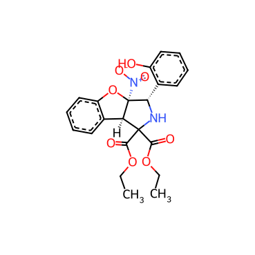 CCOC(=O)C1(C(=O)OCC)N[C@@H](c2ccccc2O)[C@]2([N+](=O)[O-])Oc3ccccc3[C@H]12